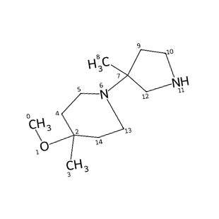 COC1(C)CCN(C2(C)CCNC2)CC1